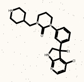 CCC1(c2cccc(N3CCCN(CC4CCNCC4)C3=O)c2)CNc2nccc(Cl)c21